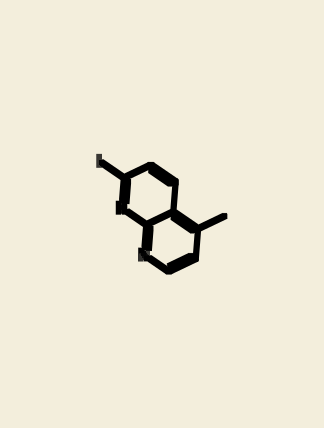 Cc1ccnc2nc(I)ccc12